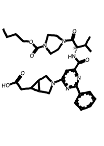 CCCCOC(=O)N1CCN(C(=O)[C@@H](NC(=O)c2cc(N3CC4C(CC(=O)O)C4C3)nc(-c3ccccc3)n2)C(C)C)CC1